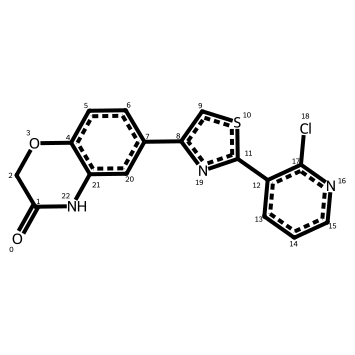 O=C1COc2ccc(-c3csc(-c4cccnc4Cl)n3)cc2N1